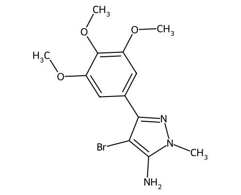 COc1cc(-c2nn(C)c(N)c2Br)cc(OC)c1OC